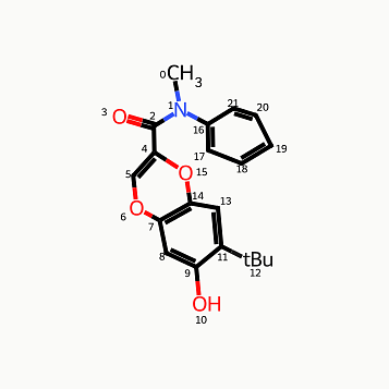 CN(C(=O)C1=COc2cc(O)c(C(C)(C)C)cc2O1)c1ccccc1